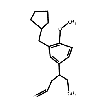 COc1ccc(C(CN)CC=O)cc1CC1CCCC1